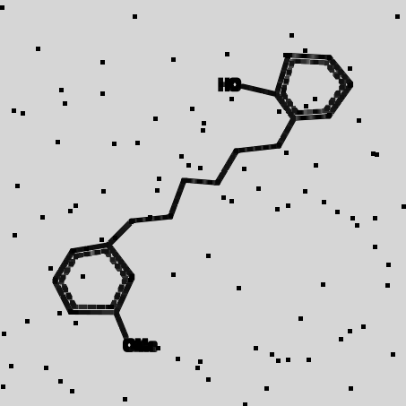 COc1cccc(CCCCCCc2ccccc2O)c1